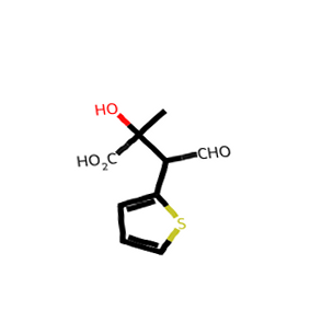 CC(O)(C(=O)O)C(C=O)c1cccs1